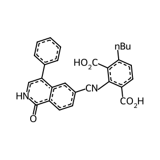 CCCCc1ccc(C(=O)O)c(C)c1C(=O)O.N#Cc1ccc2c(=O)[nH]cc(-c3ccccc3)c2c1